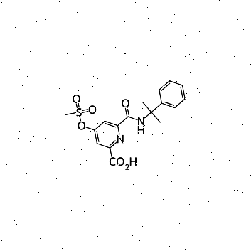 CC(C)(NC(=O)c1cc(OS(C)(=O)=O)cc(C(=O)O)n1)c1ccccc1